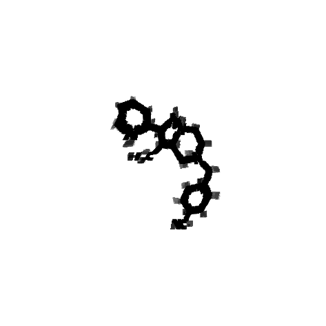 Cc1c(-c2ccccn2)nn2c1CN(Cc1ccc(C#N)cc1)CC2